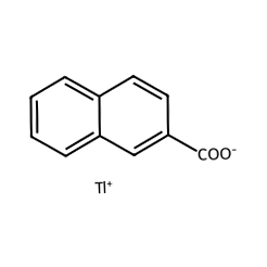 O=C([O-])c1ccc2ccccc2c1.[Tl+]